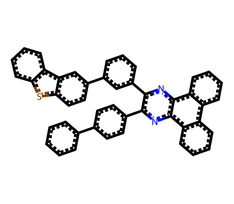 c1ccc(-c2ccc(-c3nc4c5ccccc5c5ccccc5c4nc3-c3cccc(-c4ccc5sc6ccccc6c5c4)c3)cc2)cc1